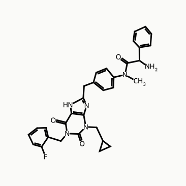 CN(C(=O)C(N)c1ccccc1)c1ccc(Cc2nc3c([nH]2)c(=O)n(Cc2ccccc2F)c(=O)n3CC2CC2)cc1